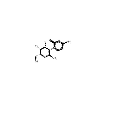 CC1O[C@H](CO)[C@H](O)[C@H](F)[C@@H]1n1ccc(N)nc1=O